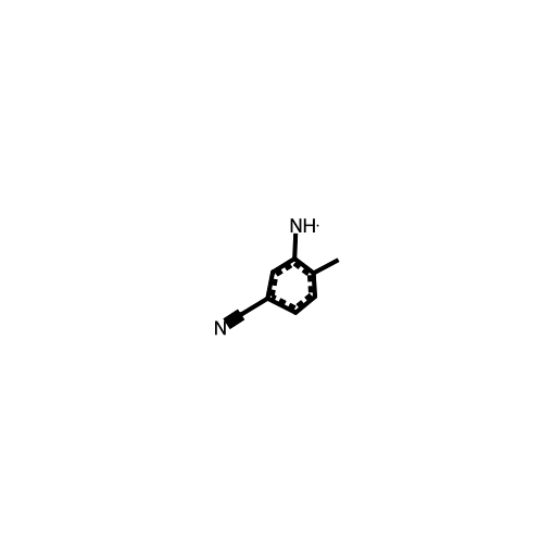 Cc1ccc(C#N)cc1[NH]